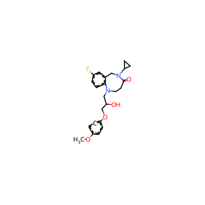 COc1ccc(OCC(O)CN2CCC(=O)N(C3CC3)Cc3cc(F)ccc32)cc1